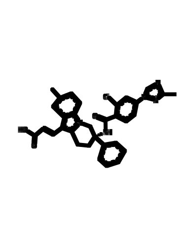 Cc1ccc2c(c1)c(C=CC(=O)O)c1n2C[C@@](NC(=O)c2ccc(-n3cnc(C)n3)cc2Cl)(c2ccccc2)CC1